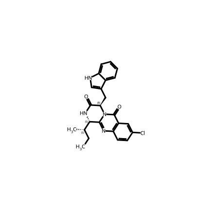 CC[C@H](C)[C@@H]1NC(=O)[C@@H](Cc2c[nH]c3ccccc23)n2c1nc1ccc(Cl)cc1c2=O